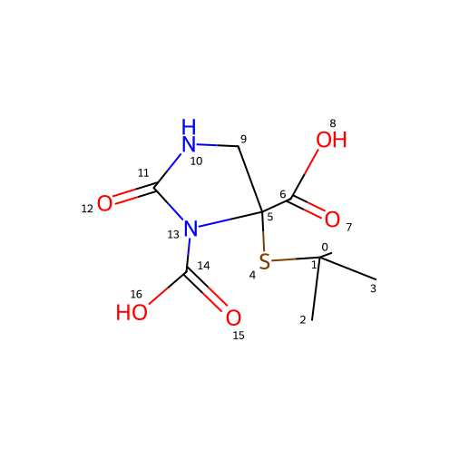 CC(C)(C)SC1(C(=O)O)CNC(=O)N1C(=O)O